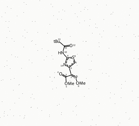 CON=C(C(=O)OC)c1csc(NC(=O)C(C)(C)C)n1